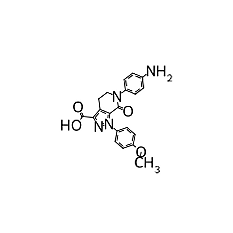 COc1ccc(-n2nc(C(=O)O)c3c2C(=O)N(c2ccc(N)cc2)CC3)cc1